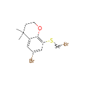 CC1(C)CCOc2c(S[Se]Br)cc(Br)cc21